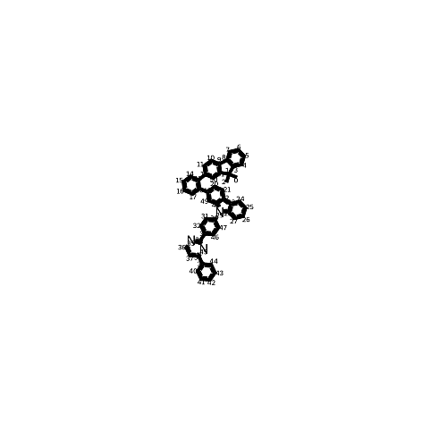 CC1(C)c2ccccc2-c2ccc(-c3ccccc3-c3ccc4c5ccccc5n(-c5ccc(-c6nccc(-c7ccccc7)n6)cc5)c4c3)cc21